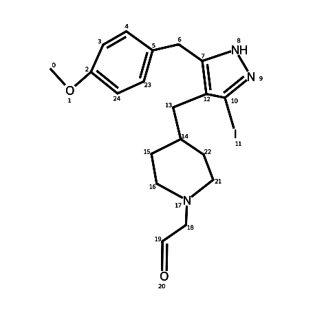 COc1ccc(Cc2[nH]nc(I)c2CC2CCN(CC=O)CC2)cc1